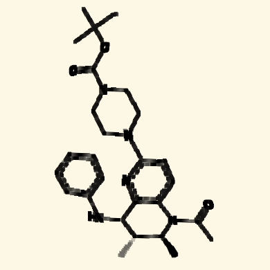 CC(=O)N1c2ccc(N3CCN(C(=O)OC(C)(C)C)CC3)nc2C(Nc2ccccc2)[C@@H](C)[C@@H]1C